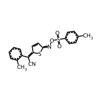 Cc1ccc(S(=O)(=O)O/N=C2C=C/C(=C(/C#N)c3ccccc3C)S\2)cc1